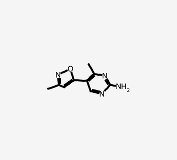 Cc1cc(-c2cnc(N)nc2C)on1